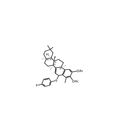 CC(=O)Oc1cc2c(c(C)c1OC(C)=O)C(Sc1ccc(F)cc1)C=C1[C@@]2(C)CC[C@@]2(C)[C@@H]3CC(C)(C)CC[C@]3(C)CC[C@]12C